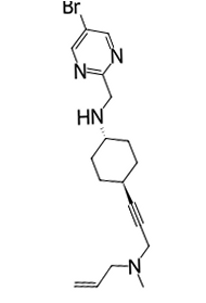 C=CCN(C)CC#C[C@H]1CC[C@H](NCc2ncc(Br)cn2)CC1